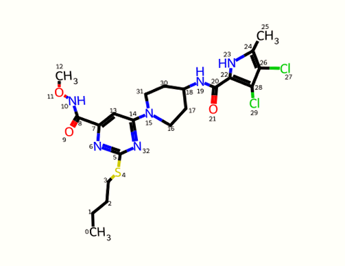 CCCCSc1nc(C(=O)NOC)cc(N2CCC(NC(=O)c3[nH]c(C)c(Cl)c3Cl)CC2)n1